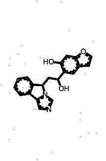 Oc1cc2occc2cc1C(O)CC1c2ccccc2-c2cncn21